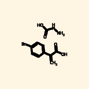 C=C(C(=O)O)c1ccc(Br)cc1.NNC(=O)O